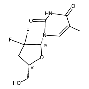 Cc1cn([C@@H]2O[C@H](CO)CC2(F)F)c(=O)[nH]c1=O